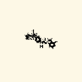 Cc1cccc2c1ccn2CC(=O)Nc1ccc(S(=O)(=O)Nc2nccs2)cc1